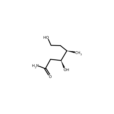 C[C@H](CCO)[C@@H](O)CC(N)=O